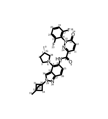 C[C@H]1CCN(c2c(NC(=O)c3ccc(=O)n(-c4c(F)cccc4F)n3)ccc3nn(C45CC(C)(C4)C5)cc23)C1